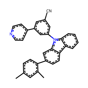 Cc1ccc(-c2ccc3c4ccccc4n(-c4cc(C#N)cc(-c5ccncc5)c4)c3c2)c(C)c1